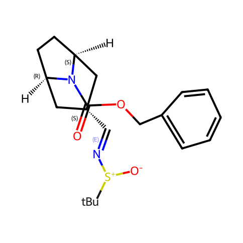 CC(C)(C)[S+]([O-])/N=C/[C@@H]1C[C@H]2CC[C@@H](C1)N2C(=O)OCc1ccccc1